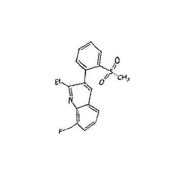 CCc1nc2c(F)cccc2cc1-c1ccccc1S(C)(=O)=O